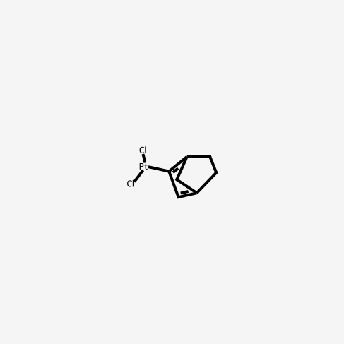 [Cl][Pt]([Cl])[C]1=C2CCC(=C1)C2